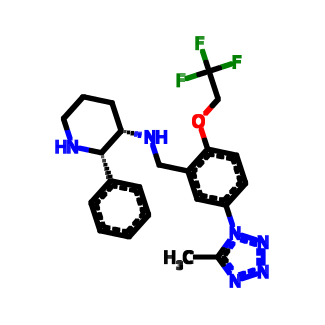 Cc1nnnn1-c1ccc(OCC(F)(F)F)c(CN[C@H]2CCCN[C@H]2c2ccccc2)c1